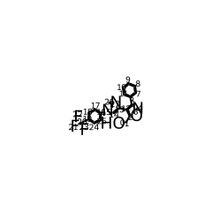 OCc1onc(-c2ccccc2)c1-c1cn(-c2ccc(C(F)(F)F)cc2)cn1